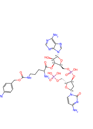 [N-]=[N+]=Nc1ccc(COC(=O)NCCCC(N)C(=O)O[C@H]2[C@@H](O)[C@H](n3cnc4c(N)ncnc43)O[C@H]2COP(=O)(O)O[C@H]2C[C@H](n3ccc(N)nc3=O)O[C@@H]2COP(=O)(O)O)cc1